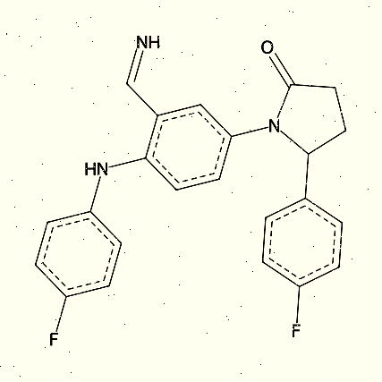 N=Cc1cc(N2C(=O)CCC2c2ccc(F)cc2)ccc1Nc1ccc(F)cc1